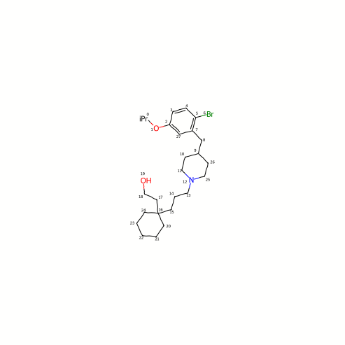 CC(C)Oc1ccc(Br)c(CC2CCN(CCCC3(CCO)CCCCC3)CC2)c1